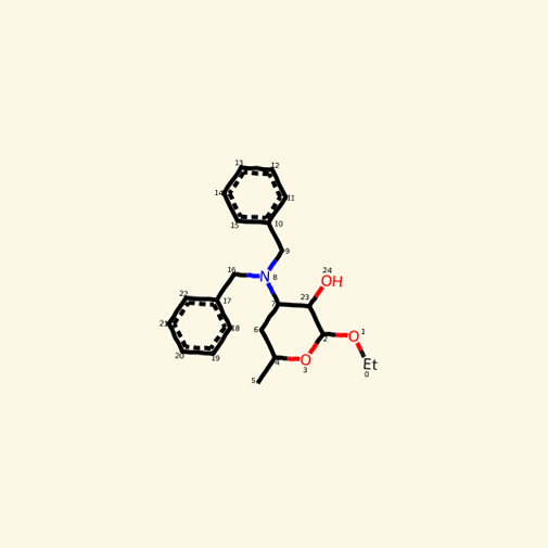 CCOC1OC(C)CC(N(Cc2ccccc2)Cc2ccccc2)C1O